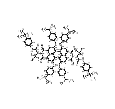 CC(C)c1ccc(Oc2cc3c4c(cc(Oc5ccc(C(C)C)cc5)c5c6c(Oc7ccc(C(C)C)cc7)cc7c8c(cc(Oc9ccc(C(C)C)cc9)c(c2c45)c86)C(=O)N(C(C(=O)Oc2ccc(C(C)(C)C)cc2)C(F)(F)F)C7=O)C(=O)N(C(C(=O)Oc2ccc(C(C)(C)C)cc2)C(F)(F)F)C3=O)cc1